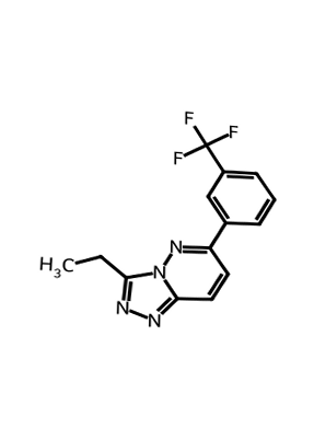 CCc1nnc2ccc(-c3cccc(C(F)(F)F)c3)nn12